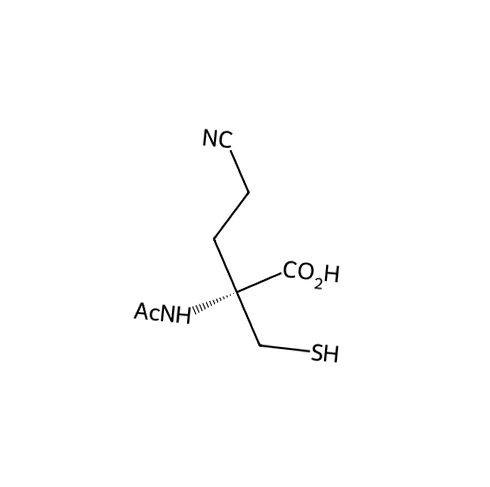 CC(=O)N[C@](CS)(CCC#N)C(=O)O